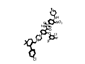 CN1CCC(Nc2ccc(S(=O)(=O)NC(=O)c3ccc(N4CCN(CC5=C(c6ccc(Cl)cc6)CC(C)(C)CC5)CC4)cc3Oc3cc(F)cc(F)c3Cl)cc2[N+](=O)[O-])CC1